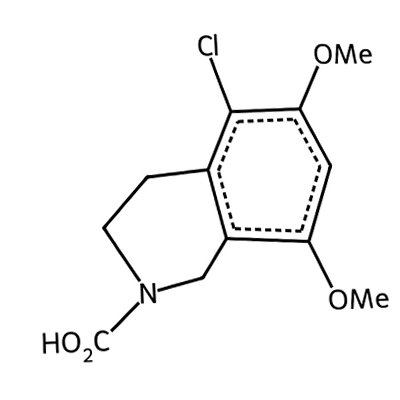 COc1cc(OC)c2c(c1Cl)CCN(C(=O)O)C2